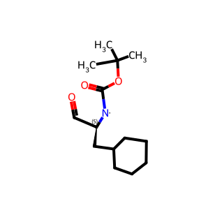 CC(C)(C)OC(=O)[N][C@H](C=O)CC1CCCCC1